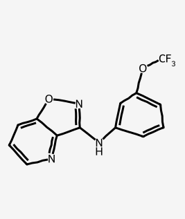 FC(F)(F)Oc1cccc(Nc2noc3cccnc23)c1